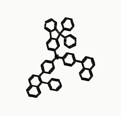 c1ccc(-c2c(-c3ccc(N(c4ccc(-c5cccc6ccccc56)cc4)c4ccc5c(c4)C(c4ccccc4)(c4ccccc4)c4ccccc4-5)cc3)ccc3ccccc23)cc1